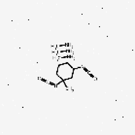 CC1(N=C=O)CCCC(N=C=O)C1.CN.CN.CN